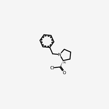 O=C(Cl)[C@H]1CCCN1Cc1ccccc1